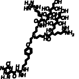 N=C(N)CCC[C@H](NC[C@H](O)[C@@H](O)[C@H](O)[C@H](O)CO)C(=O)NCCCN(CCCNC(=O)[C@H](CCCCNC(=N)N)NC[C@H](O)[C@@H](O)[C@H](O)[C@H](O)CO)CCOc1ccc(CCCCNC(=N)NC(=O)c2nc(Cl)c(N)nc2N)cc1